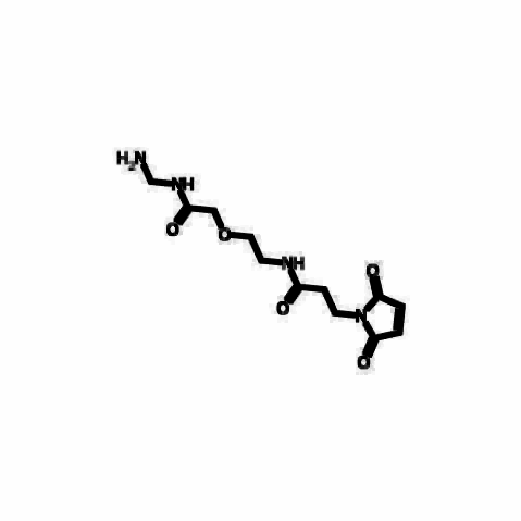 NCNC(=O)COCCNC(=O)CCN1C(=O)C=CC1=O